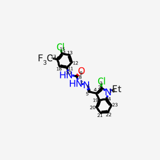 CCn1c(Cl)c(C=NNC(=O)Nc2ccc(Cl)c(C(F)(F)F)c2)c2ccccc21